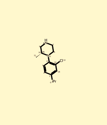 CC(C)c1ccc(N2CCNC[C@H]2C)c(Cl)c1